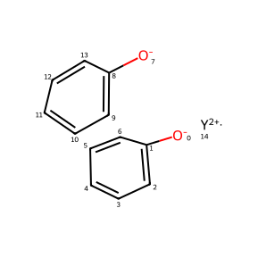 [O-]c1ccccc1.[O-]c1ccccc1.[Y+2]